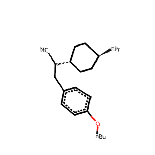 CCCCOc1ccc(CC(C#N)[C@H]2CC[C@H](CCC)CC2)cc1